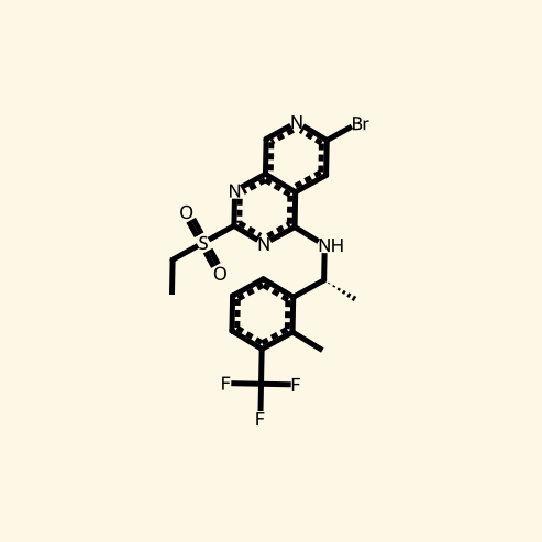 CCS(=O)(=O)c1nc(N[C@H](C)c2cccc(C(F)(F)F)c2C)c2cc(Br)ncc2n1